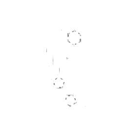 OCC1O[C@H](Sc2ccc(Cl)c(Cl)c2)C(O)C(n2cc(-c3nc(Br)cs3)nn2)[C@H]1O